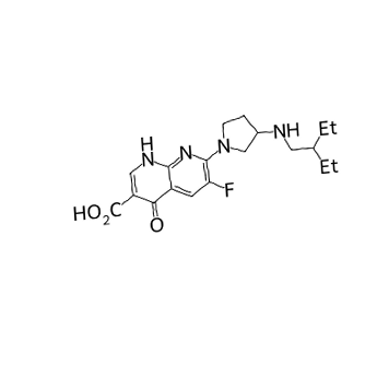 CCC(CC)CNC1CCN(c2nc3[nH]cc(C(=O)O)c(=O)c3cc2F)C1